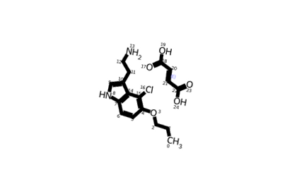 CCCOc1ccc2[nH]cc(CCN)c2c1Cl.O=C(O)/C=C/C(=O)O